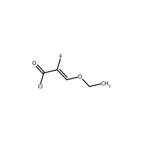 CCOC=C(F)C(=O)Cl